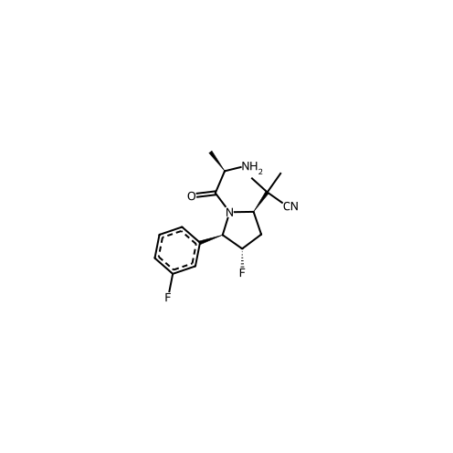 C[C@@H](N)C(=O)N1[C@H](c2cccc(F)c2)[C@@H](F)C[C@@H]1C(C)(C)C#N